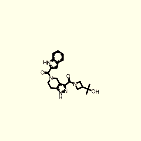 CC(C)(O)C1CN(C(=O)c2n[nH]c3c2CN(C(=O)c2cc4ccccc4[nH]2)CC3)C1